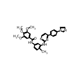 COc1cc(C(=O)Nc2ccc(C)c(Nc3nccc(-c4ccc(-n5ccnc5)cc4)n3)c2)cc(OC)c1OC